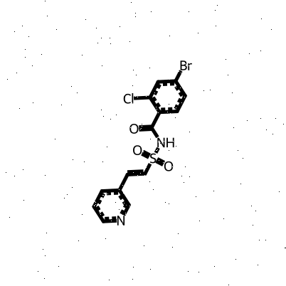 O=C(NS(=O)(=O)C=Cc1cccnc1)c1ccc(Br)cc1Cl